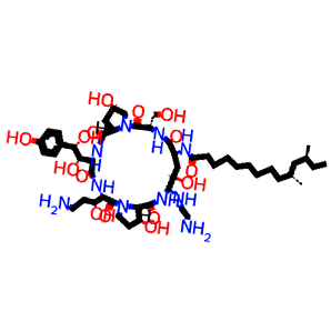 CC[C@H](C)C[C@H](C)CCCCCCCCC(=O)N[C@H]1C[C@@H](O)[C@@H](NCCN)NC(=O)[C@@H]2[C@@H](O)CCN2C(=O)[C@H]([C@H](O)CCN)NC(=O)[C@H]([C@H](O)[C@@H](O)c2ccc(O)cc2)NC(=O)[C@@H]2C[C@@H](O)CN2C(=O)[C@H](CO)NC1=O